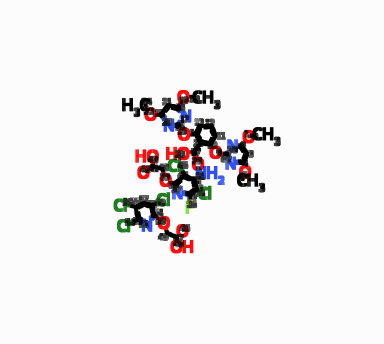 COc1cc(OC)nc(Oc2cccc(Oc3nc(OC)cc(OC)n3)c2C(=O)O)n1.Nc1c(Cl)c(F)nc(OCC(=O)O)c1Cl.O=C(O)COc1nc(Cl)c(Cl)cc1Cl